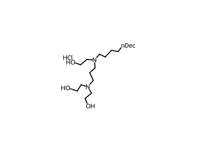 CCCCCCCCCCCCCCN(CCO)CCCN(CCO)CCO.Cl